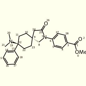 COC(=O)c1ccc(N2C[C@]3(CC[C@](c4ccccc4)(N(C)C)CC3)CC2=O)cc1